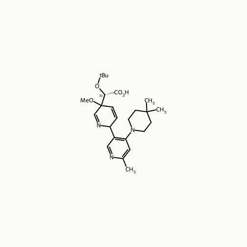 COC1([C@H](OC(C)(C)C)C(=O)O)C=CC(c2cnc(C)cc2N2CCC(C)(C)CC2)N=C1